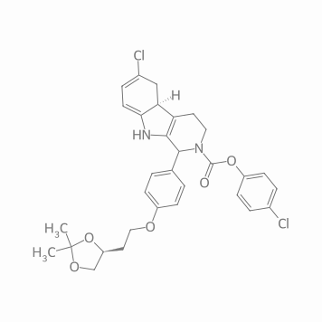 CC1(C)OC[C@H](CCOc2ccc(C3C4=C(CCN3C(=O)Oc3ccc(Cl)cc3)[C@@H]3CC(Cl)=CC=C3N4)cc2)O1